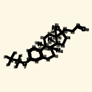 CC(C)(C)[Si](C)(C)Oc1ccc2c(c1)CC[C@@H]1[C@@H]2CC[C@@]2(C)[C@H]1CC[C@@]2(O)CCC=O